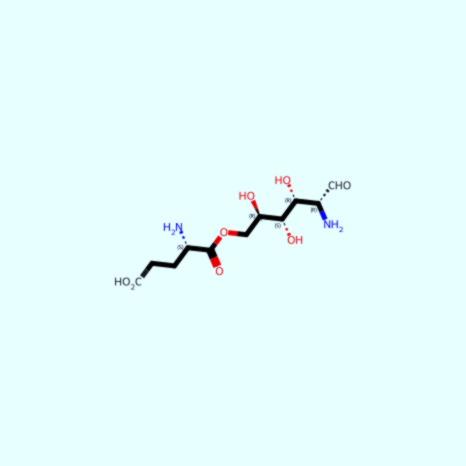 N[C@@H](CCC(=O)O)C(=O)OC[C@@H](O)[C@@H](O)[C@H](O)[C@@H](N)C=O